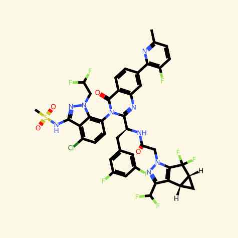 Cc1ccc(F)c(-c2ccc3c(=O)n(-c4ccc(Cl)c5c(NS(C)(=O)=O)nn(CC(F)F)c45)c([C@H](Cc4cc(F)cc(F)c4)NC(=O)Cn4nc(C(F)F)c5c4C(F)(F)[C@@H]4C[C@H]54)nc3c2)n1